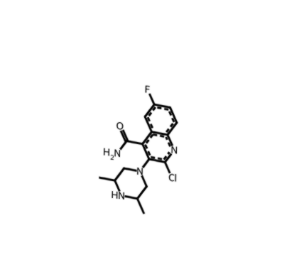 CC1CN(c2c(Cl)nc3ccc(F)cc3c2C(N)=O)CC(C)N1